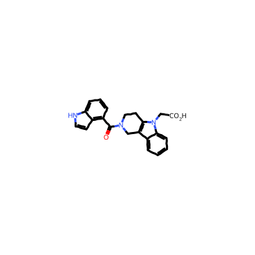 O=C(O)Cn1c2c(c3ccccc31)CN(C(=O)c1cccc3[nH]ccc13)CC2